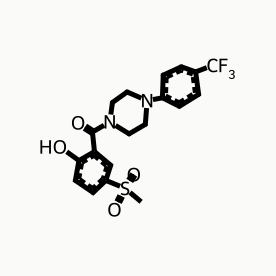 CS(=O)(=O)c1ccc(O)c(C(=O)N2CCN(c3ccc(C(F)(F)F)cc3)CC2)c1